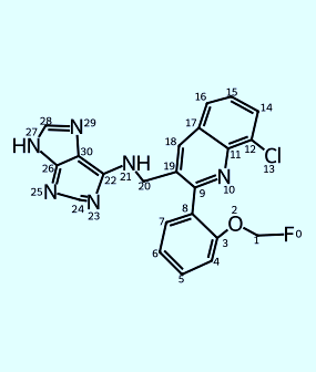 FCOc1ccccc1-c1nc2c(Cl)cccc2cc1CNc1ncnc2[nH]cnc12